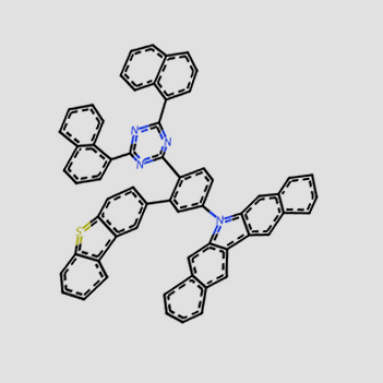 c1ccc2cc3c(cc2c1)c1cc2ccccc2cc1n3-c1ccc(-c2nc(-c3cccc4ccccc34)nc(-c3cccc4ccccc34)n2)c(-c2ccc3sc4ccccc4c3c2)c1